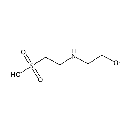 [O]CCNCCS(=O)(=O)O